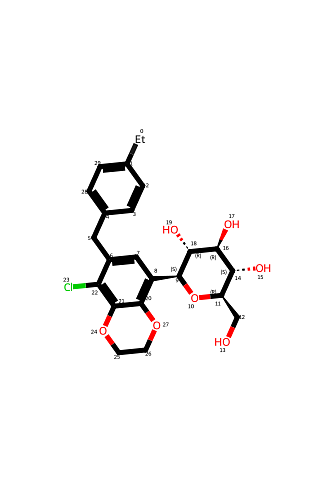 CCc1ccc(Cc2cc([C@@H]3O[C@H](CO)[C@@H](O)[C@H](O)[C@H]3O)c3c(c2Cl)OCCO3)cc1